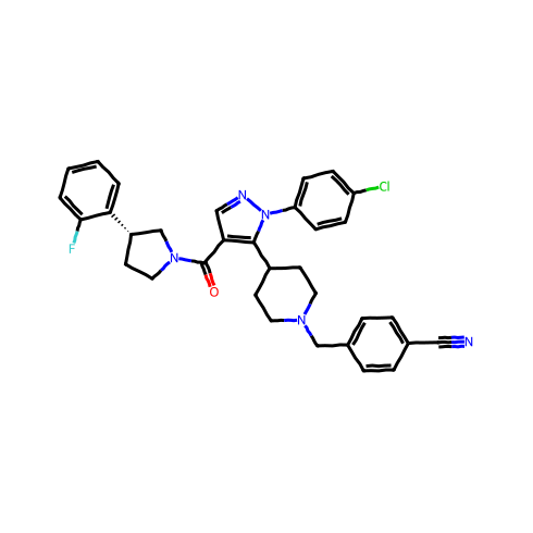 N#Cc1ccc(CN2CCC(c3c(C(=O)N4CC[C@H](c5ccccc5F)C4)cnn3-c3ccc(Cl)cc3)CC2)cc1